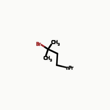 CCCCCC(C)(C)Br